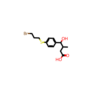 CC(CC(=O)O)C(O)c1ccc(SCCCBr)cc1